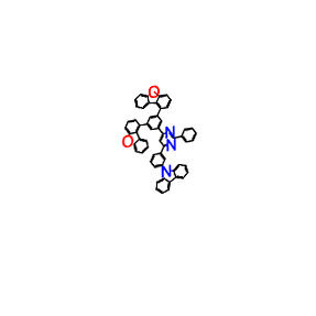 c1ccc(-c2nc(-c3cc(-c4cccc5oc6ccccc6c45)cc(-c4cccc5oc6ccccc6c45)c3)cc(-c3cccc(-n4c5ccccc5c5ccccc54)c3)n2)cc1